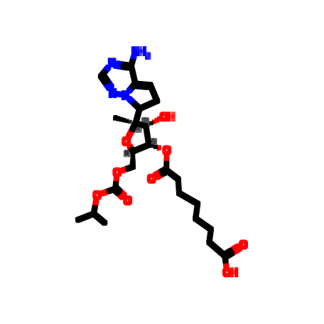 CC(C)OC(=O)OC[C@H]1O[C@@](C)(C2CC=C3C(N)=NC=NN32)[C@H](O)[C@@H]1OC(=O)CCCCCCC(=O)O